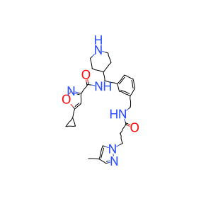 Cc1cnn(CCC(=O)NCc2cccc(C(NC(=O)c3cc(C4CC4)on3)C3CCNCC3)c2)c1